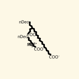 CCCCCCCCCCCCCC(CCCCCCCCCCCCCCCCCC(=O)[O-])CCCC(=O)[O-].CCCCCCCCCCCCCCCCCC(=O)[O-].[Mg+2].[Na+]